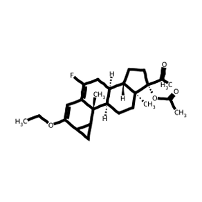 CCOC1=CC2=C(F)C[C@@H]3[C@@H](CC[C@@]4(C)[C@H]3CC[C@@]4(OC(C)=O)C(C)=O)[C@]2(C)C2CC12